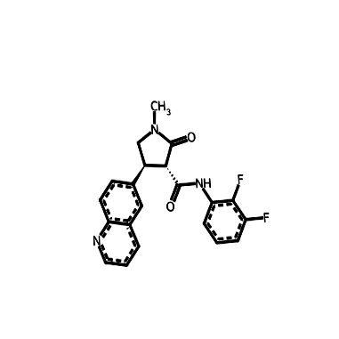 CN1C[C@H](c2ccc3ncccc3c2)[C@@H](C(=O)Nc2cccc(F)c2F)C1=O